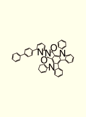 O=C1c2c(c3c(c4ccccc4n3-c3ccccc3)c3c4ccccc4n(C4=CCCC=C4)c23)C(=O)N1c1cccc(-c2ccc(-c3ccccc3)cc2)n1